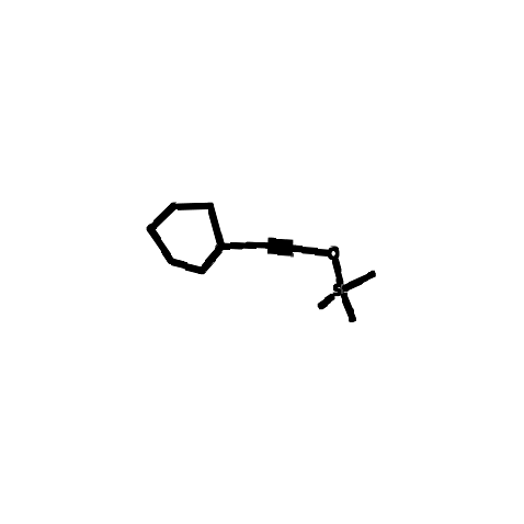 C[Si](C)(C)OC#C[C]1CCCCC1